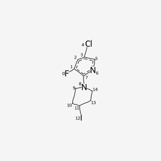 Fc1cc(Cl)cnc1N1CCC(I)CC1